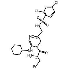 CC(C)C[C@H](N)C(=O)N(C[C@@H](O)CNS(=O)(=O)c1ccc(Cl)cc1Cl)C(=O)NC1CCCCC1